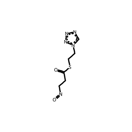 O=NCCC(=O)SCCn1cnnn1